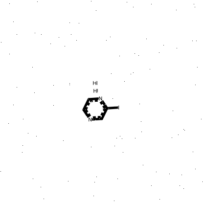 I.I.Ic1cnccn1